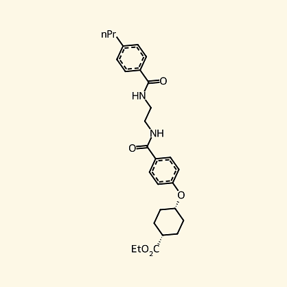 CCCc1ccc(C(=O)NCCNC(=O)c2ccc(O[C@H]3CC[C@@H](C(=O)OCC)CC3)cc2)cc1